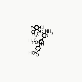 COc1cc(-c2cnc(N)c(OC(C)c3c(Cl)ccc(F)c3Cl)c2)cnc1C1=CCN(C(=O)O)CC1